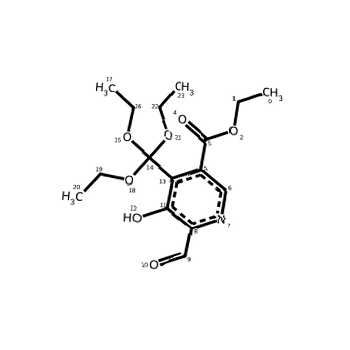 CCOC(=O)c1cnc(C=O)c(O)c1C(OCC)(OCC)OCC